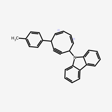 Cc1ccc(C2C#CC(n3c4ccccc4c4ccccc43)/C=C\C=C/2)cc1